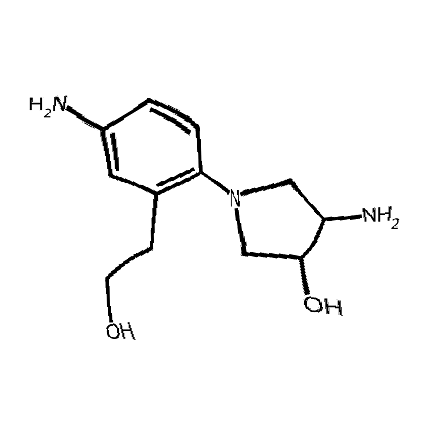 Nc1ccc(N2CC(N)C(O)C2)c(CCO)c1